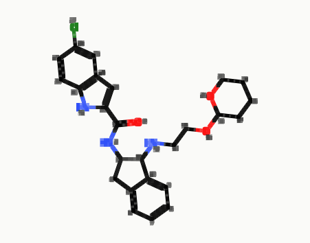 O=C(NC1Cc2ccccc2C1NCCOC1CCCCO1)c1cc2cc(Cl)ccc2[nH]1